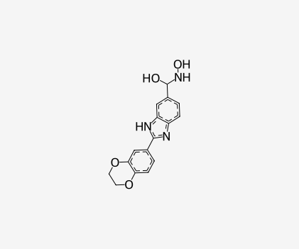 ONC(O)c1ccc2nc(-c3ccc4c(c3)OCCO4)[nH]c2c1